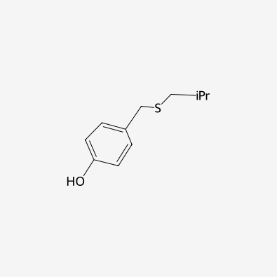 CC(C)CSCc1ccc(O)cc1